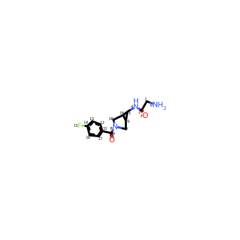 NCC(=O)NC1C2CN(C(=O)c3ccc(F)cc3)CC21